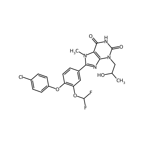 CC(O)Cn1c(=O)[nH]c(=O)c2c1nc(-c1ccc(Oc3ccc(Cl)cc3)c(OC(F)F)c1)n2C